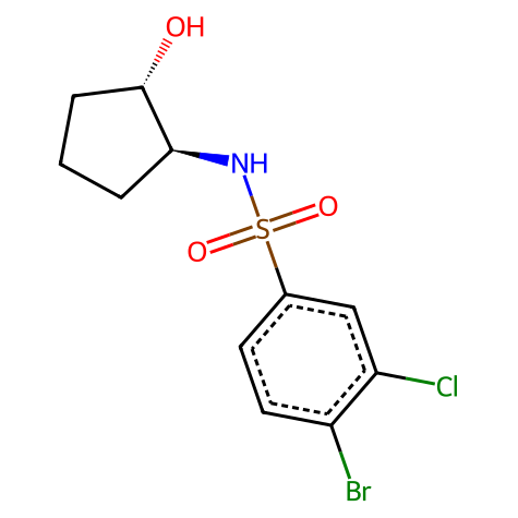 O=S(=O)(N[C@H]1CCC[C@@H]1O)c1ccc(Br)c(Cl)c1